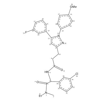 CCN(C)C(=O)C(NC(=O)CCc1cc(-c2cccc(F)c2)n(-c2ccc(OC)cc2)n1)c1cccc(Cl)c1